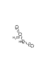 COc1cc(OCc2ccccn2)ccc1C=Cc1cc(C=Cc2cc3ccccc3o2)n[nH]1